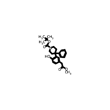 COC(=O)Cc1ccc(O)c(C2(c3ccccc3)CCN(C(=O)OC(C)(C)C)CC2)c1